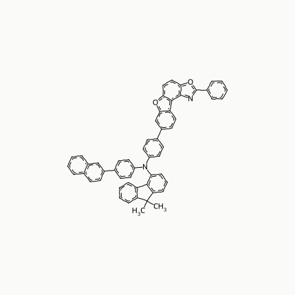 CC1(C)c2ccccc2-c2c(N(c3ccc(-c4ccc5ccccc5c4)cc3)c3ccc(-c4ccc5c(c4)oc4ccc6oc(-c7ccccc7)nc6c45)cc3)cccc21